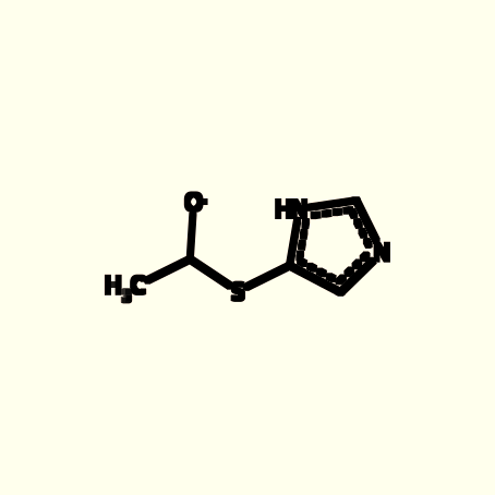 CC([O])Sc1cnc[nH]1